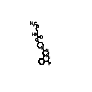 COCCNC(=O)OC1CCN(c2cc(-c3ccccc3C(F)F)ncn2)CC1